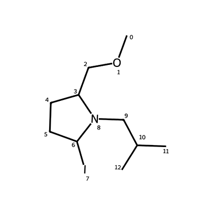 COCC1CCC(I)N1CC(C)C